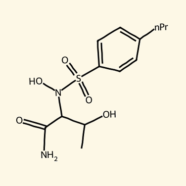 CCCc1ccc(S(=O)(=O)N(O)C(C(N)=O)C(C)O)cc1